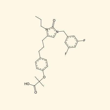 CCCn1c(CCCc2ccc(OC(C)(C)C(=O)O)cc2)cn(Cc2cc(F)cc(F)c2)c1=O